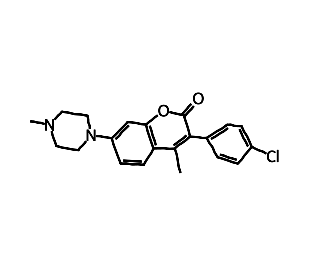 Cc1c(-c2ccc(Cl)cc2)c(=O)oc2cc(N3CCN(C)CC3)ccc12